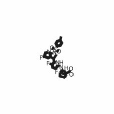 COC(=O)[C@H]1C2CCC(CC2)C1Nc1nc(C2CN(S(=O)(=O)c3ccc(C)cc3)c3ncc(F)cc32)c(F)cc1F